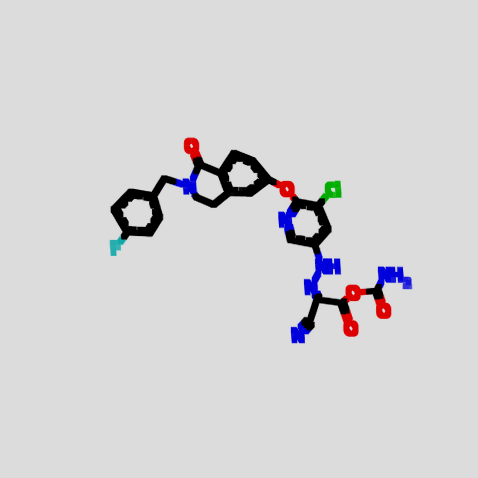 N#CC(=NNc1cnc(Oc2ccc3c(c2)CCN(Cc2ccc(F)cc2)C3=O)c(Cl)c1)C(=O)OC(N)=O